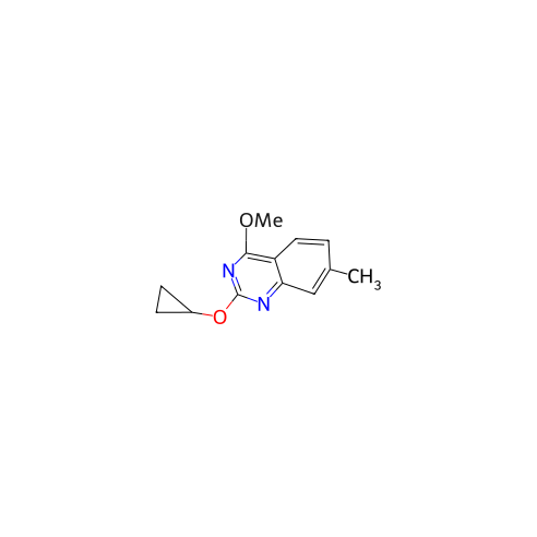 COc1nc(OC2CC2)nc2cc(C)ccc12